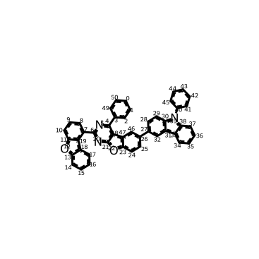 c1ccc(-c2nc(-c3cccc4oc5ccccc5c34)nc3oc4ccc(-c5ccc6c(c5)c5ccccc5n6-c5ccccc5)cc4c23)cc1